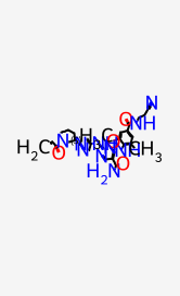 C=CC(=O)N1CCC[C@H](n2cc(Nc3ncc(C(N)=O)c(Nc4c(C)cc(C(=O)NCCC#N)cc4OC)n3)cn2)C1